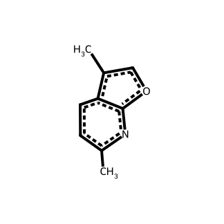 Cc1ccc2c(C)coc2n1